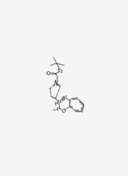 CN(NC1CCN(C(=O)OC(C)(C)C)C1)Oc1ccccc1Br